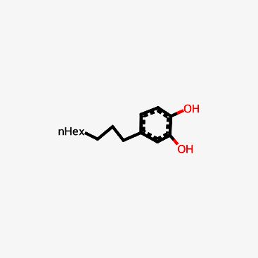 CCCCCCCCCc1ccc(O)c(O)c1